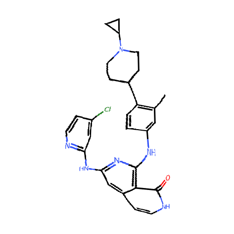 Cc1cc(Nc2nc(Nc3cc(Cl)ccn3)cc3cc[nH]c(=O)c23)ccc1C1CCN(C2CC2)CC1